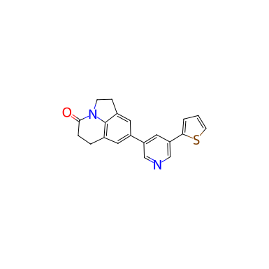 O=C1CCc2cc(-c3cncc(-c4cccs4)c3)cc3c2N1CC3